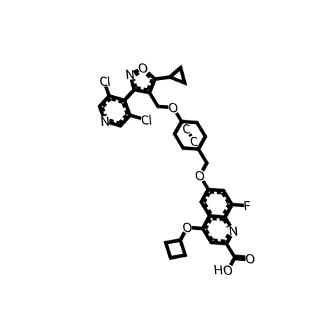 O=C(O)c1cc(OC2CCC2)c2cc(OCC34CCC(OCc5c(-c6c(Cl)cncc6Cl)noc5C5CC5)(CC3)CC4)cc(F)c2n1